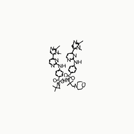 Cc1ncc(-c2ccnc(Nc3ccc(S(=O)(=O)N4CC4(C)C)cc3)n2)n1C.Cc1ncc(-c2ccnc(Nc3ccc(S(=O)(=O)NC(C)(C)CN4CCOCC4)cc3)n2)n1C